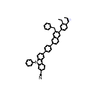 C/C=C\c1ccc(-c2cc3ccc(-c4ccc(-c5ccc6c(c5)c5ccc(C#N)cc5n6-c5ccccc5)cc4)cc3cc2Cc2ccccc2)cc1CC